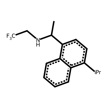 CC(C)c1ccc(C(C)NCC(F)(F)F)c2ccccc12